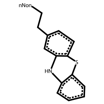 CCCCCCCCCCCc1ccc2c(c1)Nc1ccccc1S2